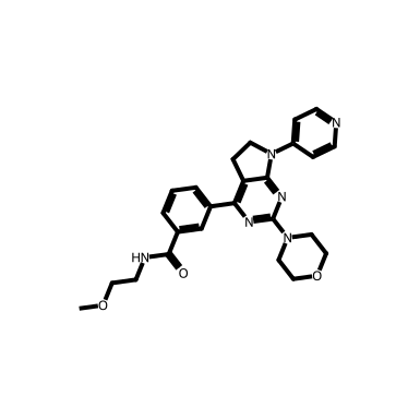 COCCNC(=O)c1cccc(-c2nc(N3CCOCC3)nc3c2CCN3c2ccncc2)c1